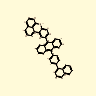 c1ccc2c(-c3ccc(-c4c5ccccc5c(-c5ccc6c(c5)-c5cccc7cccc(c57)S6)c5ccccc45)cc3)cccc2c1